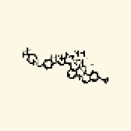 Nc1nc(-c2cccc(-n3ccc4cc(C5CC5)cc(F)c4c3=O)c2CO)c2cc(-c3ccc(CN4CCC(F)(F)CC4)cc3)[nH]c2n1